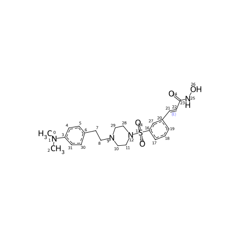 CN(C)c1ccc(CCN2CCN(S(=O)(=O)c3cccc(/C=C/C(=O)NO)c3)CC2)cc1